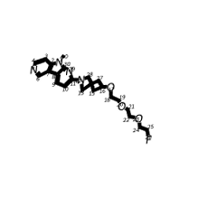 Cn1c2ccncc2c2ccc(N3CC4(CC(OCCOCCOCCF)C4)C3)nc21